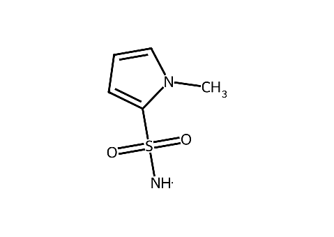 Cn1cccc1S([NH])(=O)=O